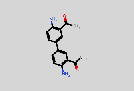 CC(=O)c1cc(-c2ccc(N)c(C(C)=O)c2)ccc1N